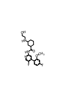 COc1cc(F)ccc1-c1cc(NC(=O)C2CCCC(NCCO)C2)ncc1F